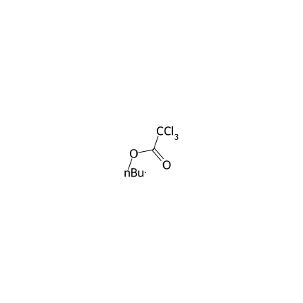 CCC[CH]OC(=O)C(Cl)(Cl)Cl